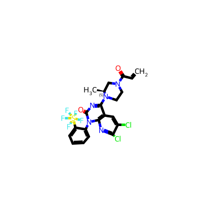 C=CC(=O)N1CCN(c2nc(=O)n(-c3ccccc3S(F)(F)(F)(F)F)c3nc(Cl)c(Cl)cc23)[C@@H](C)C1